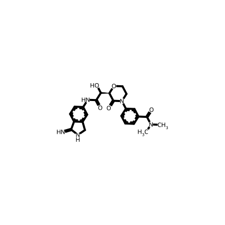 CN(C)C(=O)c1cccc(N2CCO[C@H](C(O)C(=O)Nc3ccc4c(c3)CNC4=N)C2=O)c1